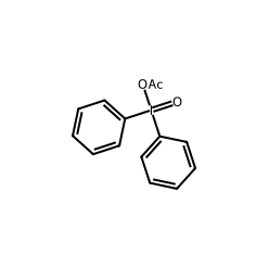 CC(=O)OI(=O)(c1ccccc1)c1ccccc1